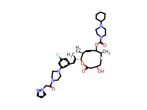 C/C(=C\c1cc(F)cc(N2CCN(C(=O)Cn3cccn3)CC2)c1)[C@H]1OC(=O)C[C@H](O)CC[C@H](C)C(OC(=O)N2CCN(C3CCCCC3)CC2)/C=C/[C@@H]1C